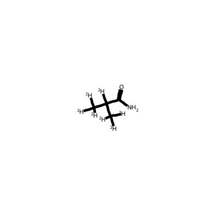 [2H]C([2H])([2H])C([2H])(C(N)=O)C([2H])([2H])[2H]